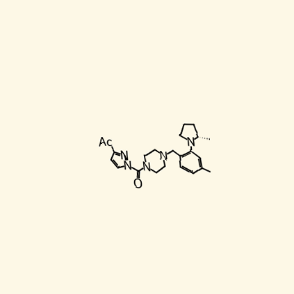 CC(=O)c1ccn(C(=O)N2CCN(Cc3ccc(C)cc3N3CCC[C@@H]3C)CC2)n1